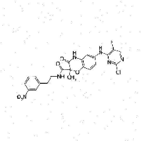 CC1(C(=O)NCCc2cccc([N+](=O)[O-])c2)Oc2ccc(Nc3nc(Cl)ncc3F)cc2NC1=O